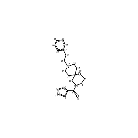 O=C(c1cncs1)N1CCOC2(CCN(CCc3ccccc3)CC2)C1